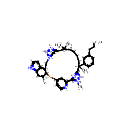 CCOC(=O)CCc1cccc([C@@]2(C)CCCCC(C)(C)c3cn(nn3)Cc3c(c(F)cc4[nH]ccc34)Sc3ccnc(c3)-c3nc2nn3C)c1